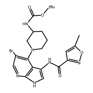 Cc1cc(C(=O)Nc2c[nH]c3ncc(Br)c(N4CCCC(NC(=O)OC(C)(C)C)C4)c23)no1